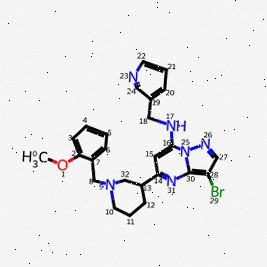 COc1ccccc1CN1CCCC(c2cc(NCc3cccnc3)n3ncc(Br)c3n2)C1